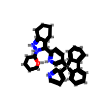 c1cncc([Si]2(c3ccc(-c4c5c(nn4C4CCCCO4)CCCC5)nc3)c3ccccc3-c3ccccc32)c1